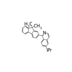 CC(C)c1ccc2c(-c3ccc4c(c3)C(C)(C)c3ccccc3-4)nccc2c1